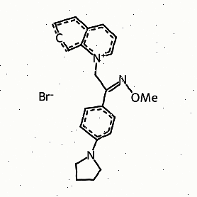 CON=C(C[n+]1cccc2ccccc21)c1ccc(N2CCCC2)cc1.[Br-]